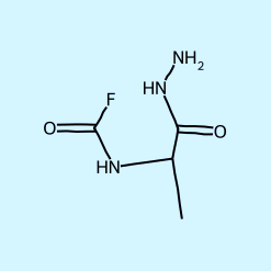 CC(NC(=O)F)C(=O)NN